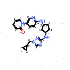 O=c1ccccn1-c1ccc(N[C@H]2CC[C@H](Nc3ncn(CC4CC4)n3)C2)nc1